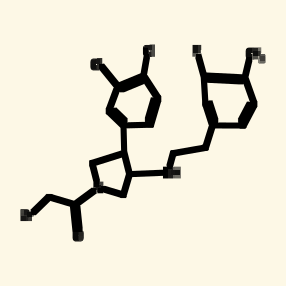 O=C(CBr)N1CC(NCCc2ccc(C(F)(F)F)c(F)c2)C(c2ccc(Cl)c(Cl)c2)C1